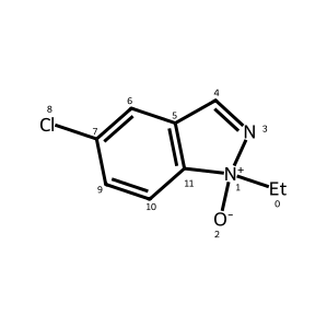 CC[N+]1([O-])N=Cc2cc(Cl)ccc21